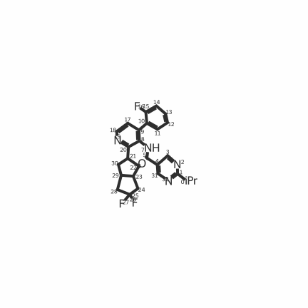 CC(C)c1ncc(C(=O)Nc2c(-c3ccccc3F)ccnc2C2CC3CC(F)(F)CC3C2)cn1